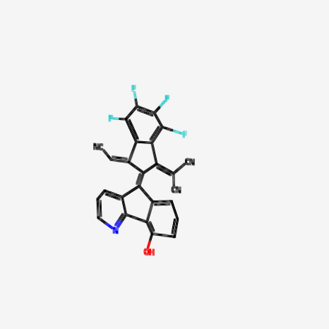 N#C/C=C1/C(=C2\c3cccnc3-c3c(O)cccc32)C(=C(C#N)C#N)c2c(F)c(F)c(F)c(F)c21